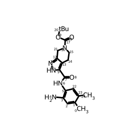 Cc1cc(N)c(NC(=O)c2[nH]nc3c2CCN(C(=O)OC(C)(C)C)C3)cc1C